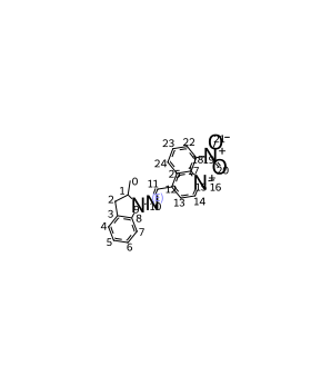 CC1Cc2ccccc2N1/N=C/c1cc[n+](C)c2c([N+](=O)[O-])cccc12